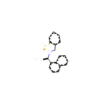 C=C(c1cccc2ccccc12)N1Cc2ccccc2S1(=O)=O